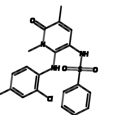 Cc1cc(NS(=O)(=O)c2ccccc2)c(Nc2ccc(I)cc2Cl)n(C)c1=O